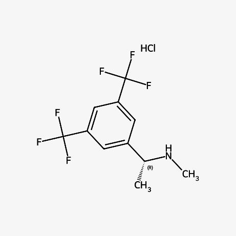 CN[C@H](C)c1cc(C(F)(F)F)cc(C(F)(F)F)c1.Cl